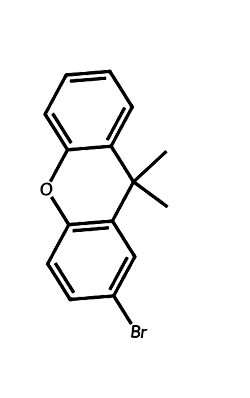 CC1(C)c2ccccc2Oc2ccc(Br)cc21